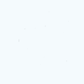 P.c1ccc(-c2cccc3c2-c2ccccc2-3)cc1